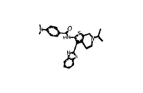 CC(C)N1CCc2c(sc(NC(=O)c3ccc(N(C)C)cc3)c2-c2nc3ccccc3s2)C1